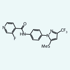 CSc1cc(C(F)(F)F)nn1-c1ccc(NC(=O)c2ccncc2F)cc1